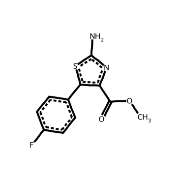 COC(=O)c1nc(N)sc1-c1ccc(F)cc1